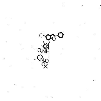 Cc1cc(NC(=O)[C@@H]2CCCN(C(=O)OC(C)(C)C)C2)nn1Cc1cc(Cl)cc2cc(-c3ccccc3)oc12